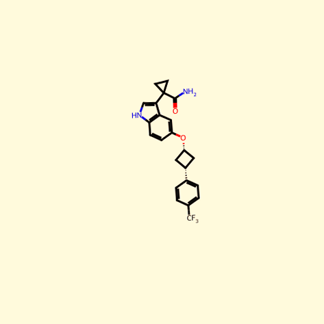 NC(=O)C1(c2c[nH]c3ccc(O[C@H]4C[C@@H](c5ccc(C(F)(F)F)cc5)C4)cc23)CC1